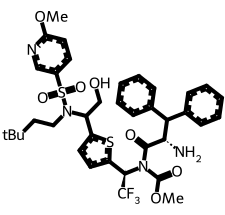 COC(=O)N(C(=O)[C@@H](N)C(c1ccccc1)c1ccccc1)[C@H](c1ccc(C(CO)N(CCC(C)(C)C)S(=O)(=O)c2ccc(OC)nc2)s1)C(F)(F)F